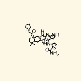 COc1cc2c(cc1Nc1nc(Nc3ccsc3C(N)=O)c3cc[nH]c3n1)N(C(=O)CN1CCCC1)CCC2(C)C